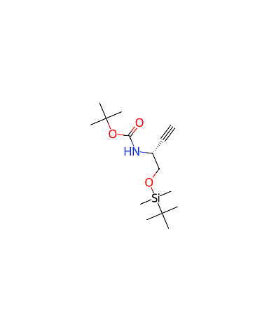 C#C[C@H](CO[Si](C)(C)C(C)(C)C)NC(=O)OC(C)(C)C